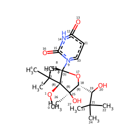 CO[C@@]1(C(C)(C)C)[C@]([SiH3])(n2ccc(=O)[nH]c2=O)O[C@H](C(O)C(C)(C)C)[C@@]1(C)O